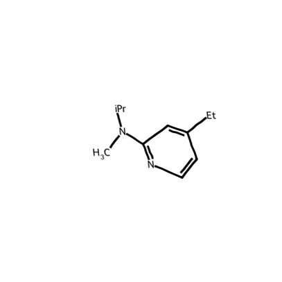 CCc1ccnc(N(C)C(C)C)c1